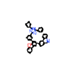 c1ccc(-c2nc(-c3ccccc3)nc(-c3cccc(-c4cc(-c5ccc6cnc7ccccc7c6c5)cc5c4oc4ccccc45)c3)n2)cc1